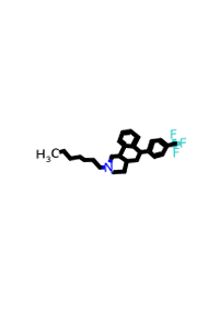 CCCCCCCN1CCC2CC(c3ccc(C(F)(F)F)cc3)c3ccccc3C2C1